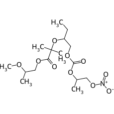 CCC(COC(=O)OC(C)CO[N+](=O)[O-])OC(C)(C)C(=O)OCC(C)OC